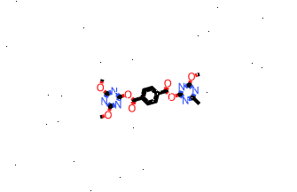 COc1nc(C)nc(OC(=O)c2ccc(C(=O)Oc3nc(OC)nc(OC)n3)cc2)n1